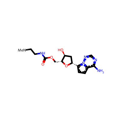 CNCCNC(=O)OC[C@H]1O[C@@H](c2ccc3c(N)ncnn23)C[C@@H]1O